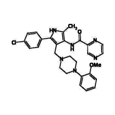 COc1ccccc1N1CCN(Cc2c(-c3ccc(Cl)cc3)[nH]c(C)c2NC(=O)c2cnccn2)CC1